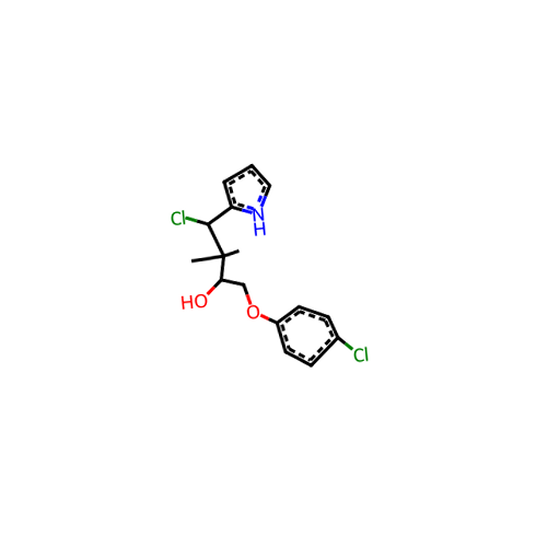 CC(C)(C(O)COc1ccc(Cl)cc1)C(Cl)c1ccc[nH]1